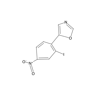 O=[N+]([O-])c1ccc(-c2cnco2)c(I)c1